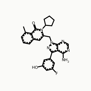 Cc1cccc2cc(Cn3nc(-c4cc(O)cc(F)c4)c4c(N)ncnc43)n(C3CCCC3)c(=O)c12